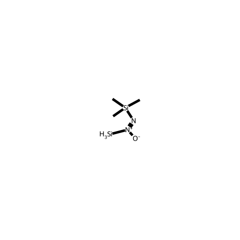 C[Si](C)(C)N=[N+]([O-])[SiH3]